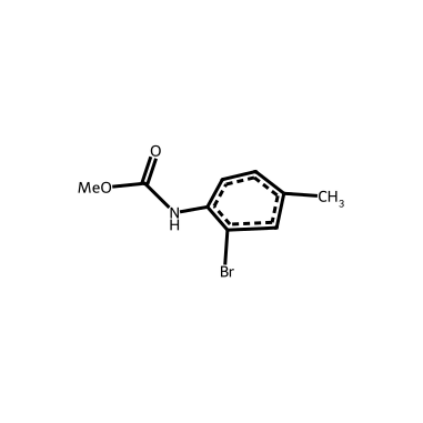 COC(=O)Nc1ccc(C)cc1Br